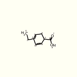 CCC1=CC[C](C(=O)O)C=C1